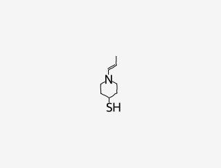 CC=CN1CCC(S)CC1